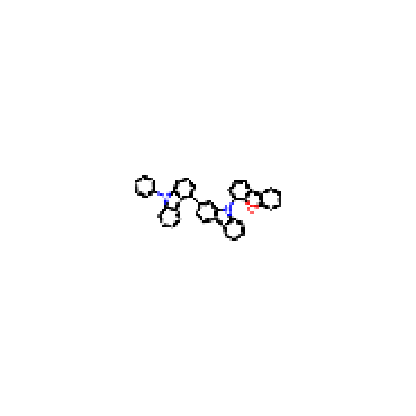 c1ccc(-n2c3ccccc3c3c(-c4ccc5c6ccccc6n(-c6cccc7c6oc6ccccc67)c5c4)cccc32)cc1